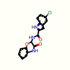 O=C(NC1Oc2ccccc2NC1=O)c1cc2cc(Cl)ccc2[nH]1